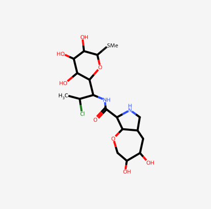 CSC1OC(C(NC(=O)C2NCC3CC(O)C(O)COC32)C(C)Cl)C(O)C(O)C1O